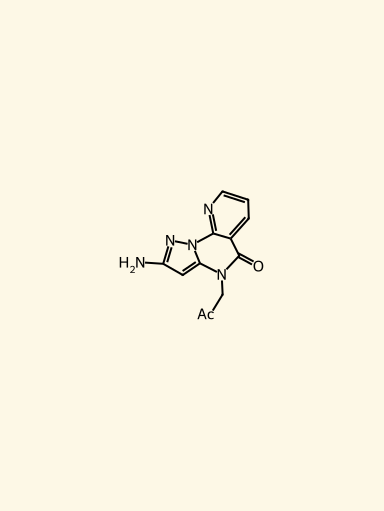 CC(=O)Cn1c(=O)c2cccnc2n2nc(N)cc12